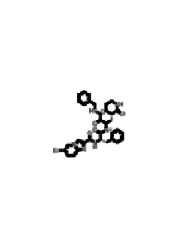 O=C(NCc1ccccc1)C(=O)C(C[C@@H]1CCCNC1=O)NC(=O)[C@H](Cc1ccccc1)NC(=O)c1cn2cc(Br)ccc2n1